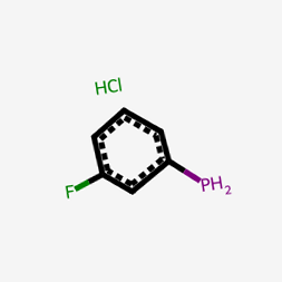 Cl.Fc1cccc(P)c1